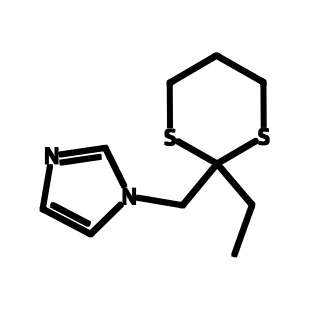 CCC1(Cn2ccnc2)SCCCS1